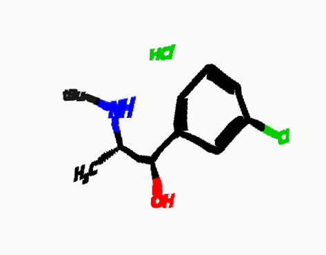 C[C@H](NC(C)(C)C)[C@H](O)c1cccc(Cl)c1.Cl